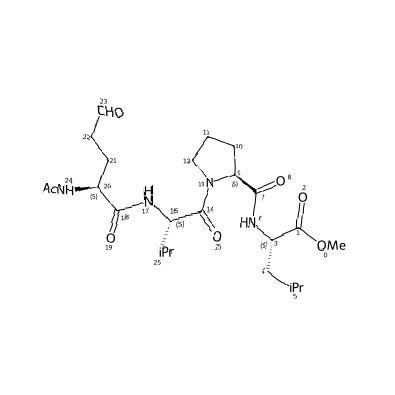 COC(=O)[C@H](CC(C)C)NC(=O)[C@@H]1CCCN1C(=O)[C@@H](NC(=O)[C@H](CCC=O)NC(C)=O)C(C)C